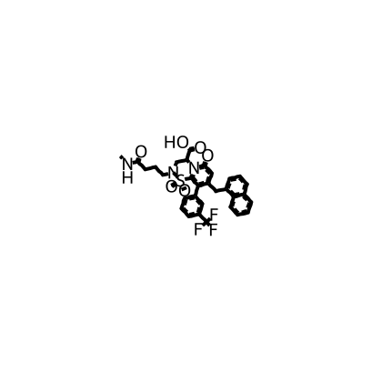 CNC(=O)CCCN1CC(C(=O)O)n2c(c(-c3cccc(C(F)(F)F)c3)c(Cc3cccc4ccccc34)cc2=O)S1(=O)=O